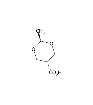 C[C@H]1OC[C@H](C(=O)O)CO1